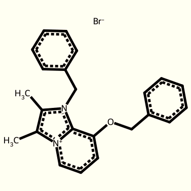 Cc1c(C)[n+]2cccc(OCc3ccccc3)c2n1Cc1ccccc1.[Br-]